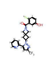 O=C(c1cc(O)ccc1F)N1CC2(CC(n3nc(C(F)(F)F)cc3-c3ccccn3)C2)C1